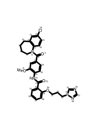 COc1cc(C(=O)N2CCCCc3cc(Cl)ccc32)ccc1NC(=O)c1ccccc1OCCCn1cncn1